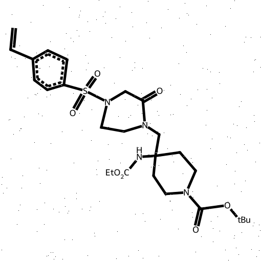 C=Cc1ccc(S(=O)(=O)N2CCN(CC3(NC(=O)OCC)CCN(C(=O)OC(C)(C)C)CC3)C(=O)C2)cc1